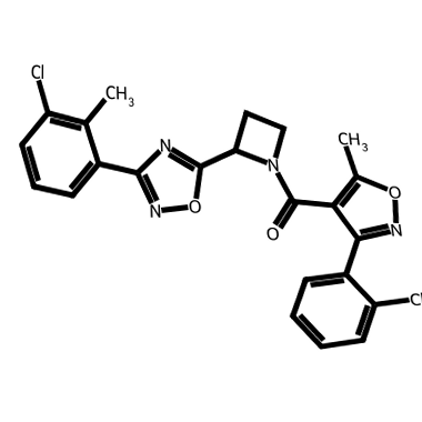 Cc1onc(-c2ccccc2Cl)c1C(=O)N1CCC1c1nc(-c2cccc(Cl)c2C)no1